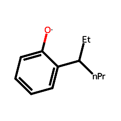 CCCC(CC)c1ccccc1[O]